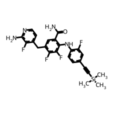 C[Si](C)(C)C#Cc1ccc(Nc2c(C(N)=O)cc(Cc3ccnc(N)c3F)c(F)c2F)c(F)c1